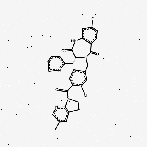 Cc1cnc2c(c1)CCN2C(=O)c1ccc(CN2C(=O)c3ccc(Cl)cc3NC(=O)[C@H]2Cc2ccccn2)cc1Cl